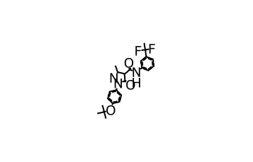 CC1=NN(c2ccc(OC(C)(C)C)cc2)C(=O)C1C(=O)Nc1cccc(C(C)(F)F)c1